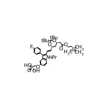 CC(C)n1c(/C=C/[C@@H]2C[C@H](CC(=O)OCC[Si](C)(C)C)OC(C(C)(C)C)(C(C)(C)C)O2)c(-c2ccc(F)cc2)c2cc(OCP(=O)(O)O)ccc21